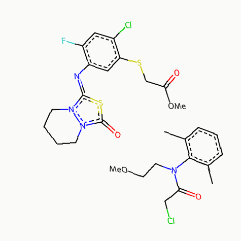 COC(=O)CSc1cc(/N=c2\sc(=O)n3n2CCCC3)c(F)cc1Cl.COCCN(C(=O)CCl)c1c(C)cccc1C